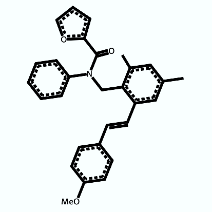 COc1ccc(C=Cc2cc(C)cc(C)c2CN(C(=O)c2ccco2)c2ccccc2)cc1